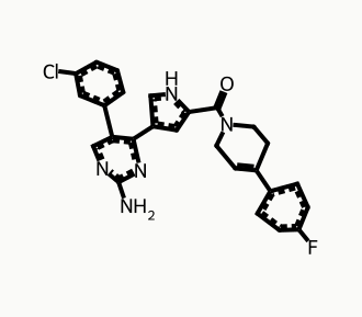 Nc1ncc(-c2cccc(Cl)c2)c(-c2c[nH]c(C(=O)N3CC=C(c4ccc(F)cc4)CC3)c2)n1